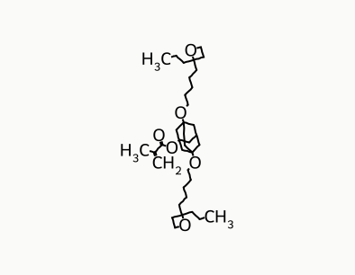 C=C(C)C(=O)OC12CC3CC(OCCCCCC4(CCC)CCO4)(CC(OCCCCCC4(CCC)CCO4)(C3)C1)C2